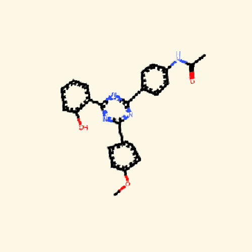 COc1ccc(-c2nc(-c3ccc(NC(C)=O)cc3)nc(-c3ccccc3O)n2)cc1